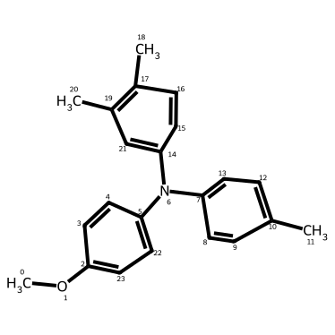 COc1ccc(N(c2ccc(C)cc2)c2ccc(C)c(C)c2)cc1